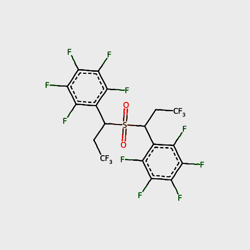 O=S(=O)(C(CC(F)(F)F)c1c(F)c(F)c(F)c(F)c1F)C(CC(F)(F)F)c1c(F)c(F)c(F)c(F)c1F